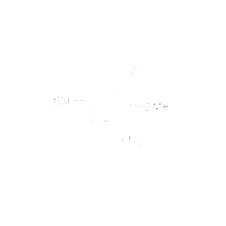 COc1c(C)cc(C(C)(C)C)cc1Br